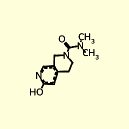 CN(C)C(=O)N1CCc2cc(O)ncc2C1